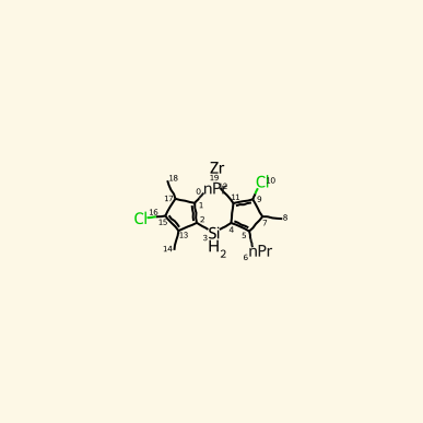 CCCC1=C([SiH2]C2=C(CCC)C(C)C(Cl)=C2C)C(C)=C(Cl)C1C.[Zr]